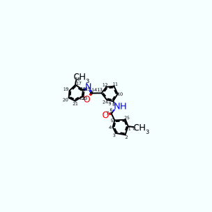 Cc1cccc(C(=O)Nc2cccc(-c3nc4c(C)cccc4o3)c2)c1